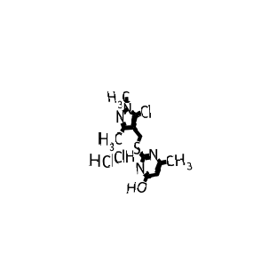 Cc1cc(O)nc(SCc2c(C)nn(C)c2Cl)n1.Cl.Cl